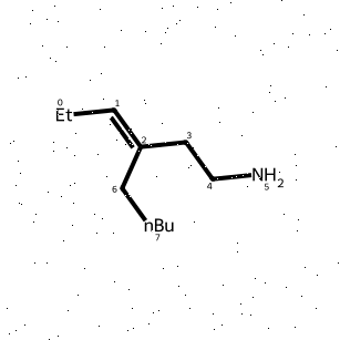 CC/C=C(/CCN)CCCCC